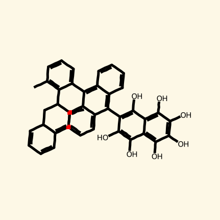 Cc1cccc(-c2c3ccccc3c(-c3c(O)c(O)c4c(O)c(O)c(O)c(O)c4c3O)c3ccccc23)c1C1CC2C=CC=CC2=CC1C